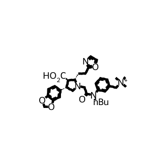 CCCCN(C(=O)CN1C[C@H](c2ccc3c(c2)OCO3)[C@@H](C(=O)O)[C@@H]1CCc1ncco1)c1cccc(C[N+](C)(C)C)c1